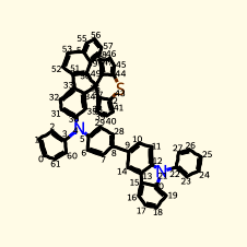 c1ccc(N(c2ccc(-c3ccc4c(c3)c3ccccc3n4-c3ccccc3)cc2)c2ccc3c(c2)C2(c4ccccc4Sc4ccccc42)c2c-3ccc3ccccc23)cc1